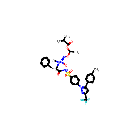 Cc1ccc(-c2cc(C(F)(F)F)nn2-c2ccc(S(=O)(=O)NC(=O)[C@H](Cc3ccccc3)N(C)[N+]([O-])=NOC(C)OC(=O)C(C)C)cc2)cc1